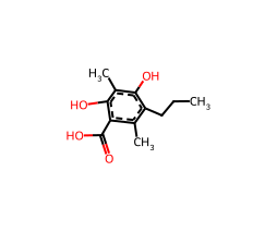 CCCc1c(C)c(C(=O)O)c(O)c(C)c1O